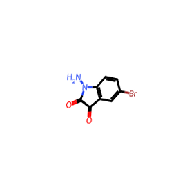 NN1C(=O)C(=O)c2cc(Br)ccc21